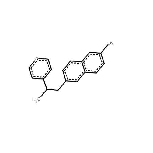 CC(C)c1ccc2cc(CC(C)c3ccncc3)ccc2c1